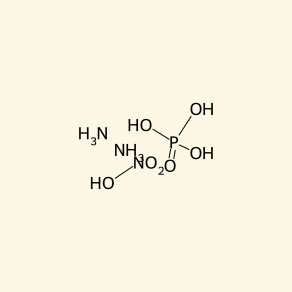 N.N.O=P(O)(O)O.O=[N+]([O-])O